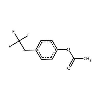 CC(=O)Oc1ccc([CH]C(F)(F)F)cc1